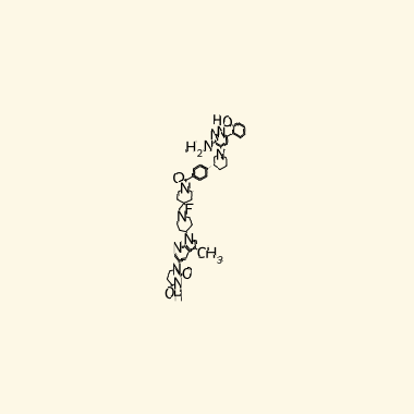 Cc1cn(C2CCN(CC3(F)CCN(C(=O)c4ccc([C@H]5CCCN(c6cc(-c7ccccc7O)nnc6N)C5)cc4)CC3)CC2)c2ncc(N3CCC(=O)NC3=O)cc12